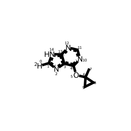 [2H]c1nc2c(OC3(C)CC3)ncnc2[nH]1